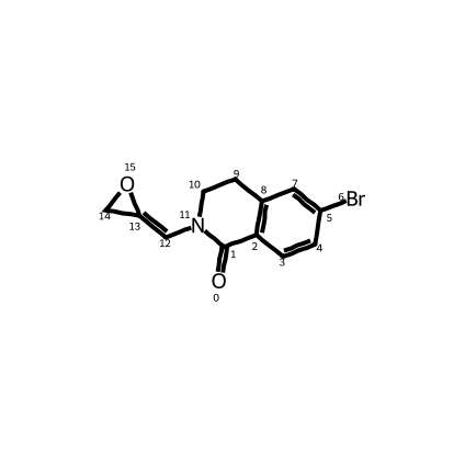 O=C1c2ccc(Br)cc2CCN1C=C1CO1